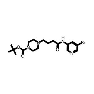 CC(C)(C)OC(=O)N1CCN(CCCC(=O)Nc2cncc(Br)c2)CC1